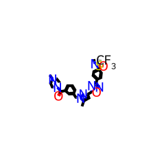 CN=S(=O)(c1ccc(-c2noc(-c3cc(C)n(Cc4cccc(C(=O)N5CCN(C)CC5)c4)n3)n2)cc1)C(F)(F)F